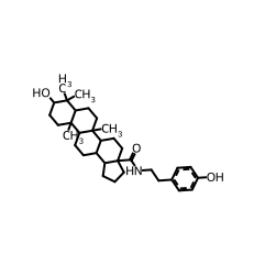 CC1(C)C(O)CCC2(C)C1CCC1(C)C3CCC4(C(=O)NCCc5ccc(O)cc5)CCCC4C3CCC12